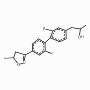 CC(O)Cc1ccc(-c2ccc(C3=NOC(C)C3)cc2F)c(F)c1